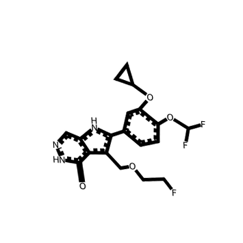 O=c1[nH]ncc2[nH]c(-c3ccc(OC(F)F)c(OC4CC4)c3)c(COCCF)c12